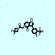 O=C(Cn1ccc2[nH]cc(-c3ccc(F)c(C(F)(F)F)c3)c2c1=O)N1CC(F)(F)C1